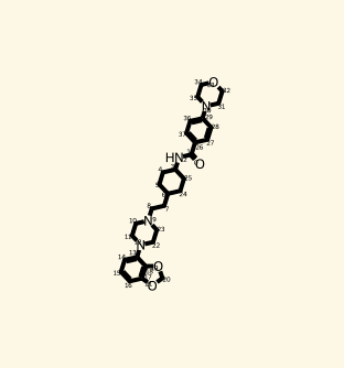 O=C(NC1CCC(CCN2CCN(c3cccc4c3OCO4)CC2)CC1)c1ccc(N2CCOCC2)cc1